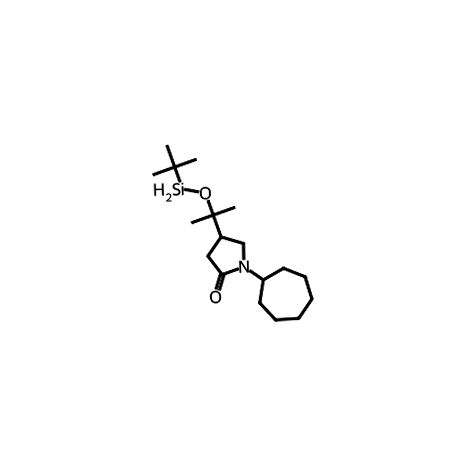 CC(C)(C)[SiH2]OC(C)(C)C1CC(=O)N(C2CCCCCC2)C1